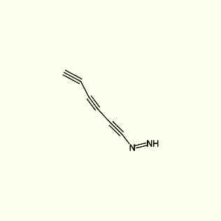 C#CC#CC#CN=N